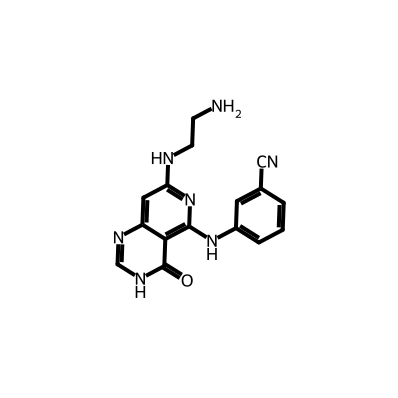 N#Cc1cccc(Nc2nc(NCCN)cc3nc[nH]c(=O)c23)c1